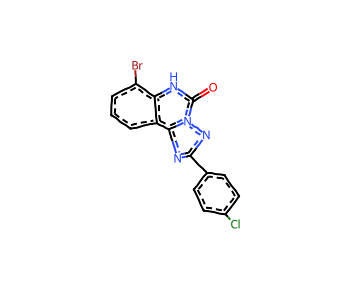 O=c1[nH]c2c(Br)cccc2c2nc(-c3ccc(Cl)cc3)nn12